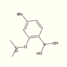 C[SiH](C)Oc1cc(C(C)(C)C)ccc1B(O)O